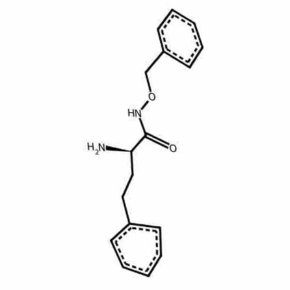 N[C@H](CCc1ccccc1)C(=O)NOCc1ccccc1